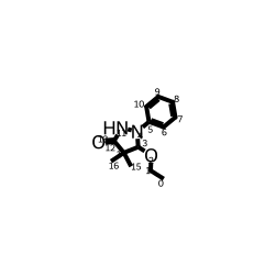 CCOC1N(c2ccccc2)NC(=O)C1(C)C